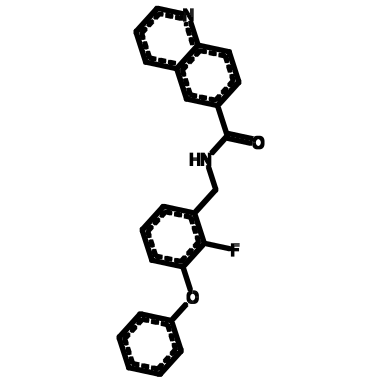 O=C(NCc1cccc(Oc2ccccc2)c1F)c1ccc2ncccc2c1